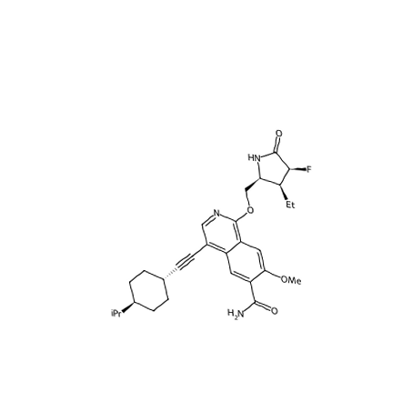 CC[C@@H]1[C@H](F)C(=O)N[C@@H]1COc1ncc(C#C[C@H]2CC[C@H](C(C)C)CC2)c2cc(C(N)=O)c(OC)cc12